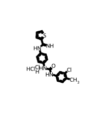 Cc1ccc(NC(=O)Nc2ccc(NC(=N)c3cccs3)cc2)cc1Cl.Cl.Cl